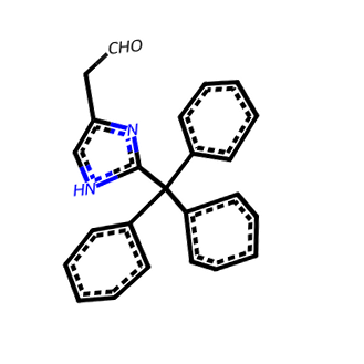 O=CCc1c[nH]c(C(c2ccccc2)(c2ccccc2)c2ccccc2)n1